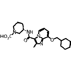 Cc1nc2c(OCC3CCCCC3)cccn2c1C(=O)N[C@H]1CCCN(C(=O)O)C1